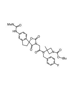 CNC(=O)Nc1ccc2c(c1)CCC21OC(=O)N(CC(=O)N(Cc2ccc(F)cc2)C2(C)CN(C(=O)OC(C)(C)C)C2)C1=O